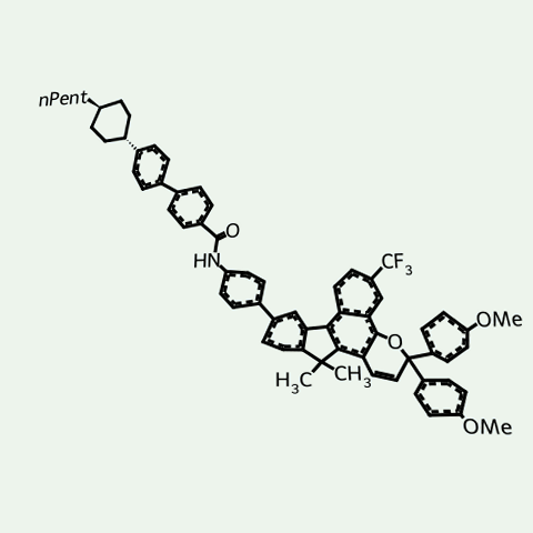 CCCCC[C@H]1CC[C@H](c2ccc(-c3ccc(C(=O)Nc4ccc(-c5ccc6c(c5)-c5c(c7c(c8cc(C(F)(F)F)ccc58)OC(c5ccc(OC)cc5)(c5ccc(OC)cc5)C=C7)C6(C)C)cc4)cc3)cc2)CC1